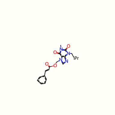 CC(C)Cn1c(=O)n(C)c(=O)c2c1ncn2COC(=O)C=Cc1ccccc1